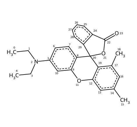 CCN(CC)c1ccc2c(c1)Oc1cc(C)cc(C)c1C21OC(=O)c2ccccc21